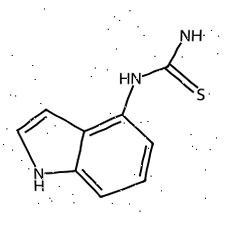 [NH]C(=S)Nc1cccc2[nH]ccc12